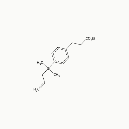 C=CC[Si](C)(C)c1ccc(CCC(=O)OCC)cc1